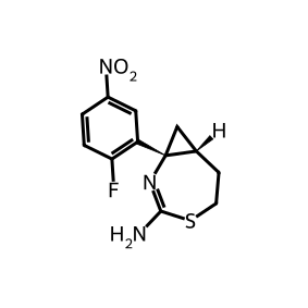 NC1=N[C@]2(c3cc([N+](=O)[O-])ccc3F)C[C@@H]2CCS1